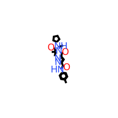 CCN1C(=O)c2cc(C(=O)Nc3ccc(C)cc3)nn2CC1(C)C(=O)NC1CCCC1